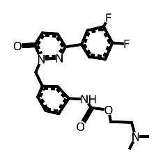 CN(C)CCOC(=O)Nc1cccc(Cn2nc(-c3ccc(F)c(F)c3)ccc2=O)c1